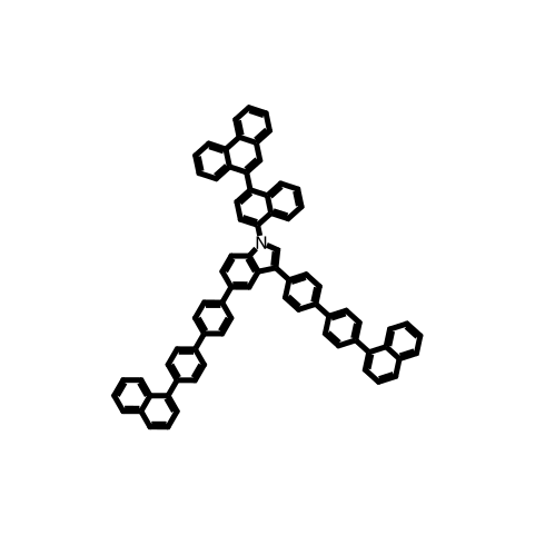 c1ccc2c(-c3ccc(-c4ccc(-c5ccc6c(c5)c(-c5ccc(-c7ccc(-c8cccc9ccccc89)cc7)cc5)cn6-c5ccc(-c6cc7ccccc7c7ccccc67)c6ccccc56)cc4)cc3)cccc2c1